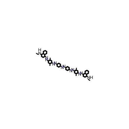 CCNc1ccc(/N=N/c2cc(C)c(/N=N/c3ccc(/N=N/c4ccc(/N=N/c5cc(C)c(/N=N/c6ccc(NCC)c7ccccc67)cc5C)cc4)cc3)cc2C)c2ccccc12